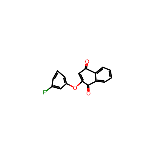 O=C1C=C(Oc2cccc(F)c2)C(=O)c2ccccc21